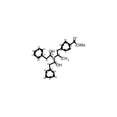 COC(=O)c1ccc(CC(C)N(C(O)Cc2ccccc2)C(O)Cc2ccccc2)cc1